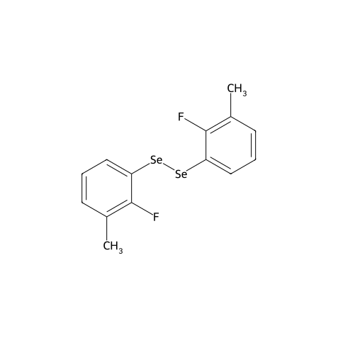 Cc1cccc([Se][Se]c2cccc(C)c2F)c1F